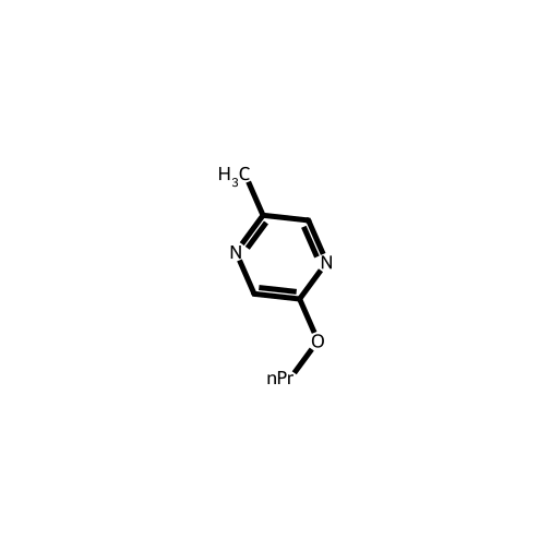 CCCOc1cnc(C)cn1